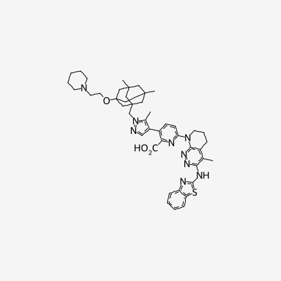 Cc1c(Nc2nc3ccccc3s2)nnc2c1CCCN2c1ccc(-c2cnn(CC34CC5(C)CC(C)(C3)CC(OCCN3CCCCC3)(C5)C4)c2C)c(C(=O)O)n1